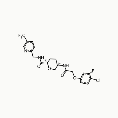 O=C(COc1ccc(Cl)c(F)c1)N[C@@H]1CC[C@H](C(=O)NCc2ccc(C(F)(F)F)cn2)OC1